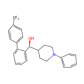 O[C@H](c1ccccc1-c1ccc(C(F)(F)F)cc1)C1CCN(c2ccccc2)CC1